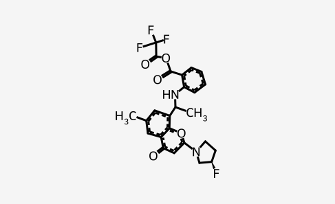 Cc1cc(C(C)Nc2ccccc2C(=O)OC(=O)C(F)(F)F)c2oc(N3CC[C@@H](F)C3)cc(=O)c2c1